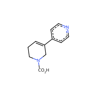 O=C(O)N1CCC=C(c2ccncc2)C1